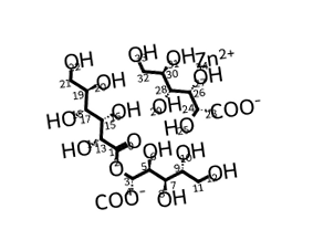 O=C(O[C@@H](C(=O)[O-])[C@@H](O)[C@H](O)[C@H](O)CO)[C@H](O)[C@@H](O)[C@H](O)[C@H](O)CO.O=C([O-])[C@H](O)[C@@H](O)[C@H](O)[C@H](O)CO.[Zn+2]